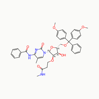 CNC(=O)CCO[C@@H]1[C@H](O)[C@@H](COC(c2ccccc2)(c2ccc(OC)cc2)c2ccc(OC)cc2)O[C@H]1n1cc(C)c(NC(=O)c2ccccc2)nc1=O